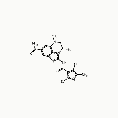 CC[C@H]1CN(C)c2cc(C(N)=O)cc3nc(NC(=O)c4c(Cl)c(C)nn4CC)n1c23